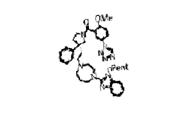 CCCCCn1c(N2CCCN(CC[C@]3(c4ccccc4)CCN(C(=O)c4cc(-n5cnnn5)ccc4OC)C3)CC2)nc2ccccc21